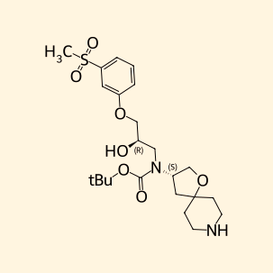 CC(C)(C)OC(=O)N(C[C@@H](O)COc1cccc(S(C)(=O)=O)c1)[C@@H]1COC2(CCNCC2)C1